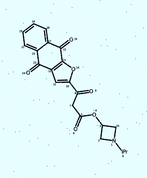 CC(C)N1CC(OC(=O)CC(=O)c2cc3c(o2)C(=O)c2ccccc2C3=O)C1